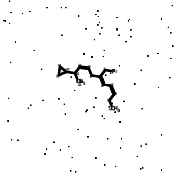 CC/C=C\C=C(/CF)C/C=C\C(C)C1CC1